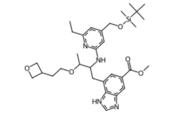 CCc1cc(CO[Si](C)(C)C(C)(C)C)cc(NC(Cc2cc(C(=O)OC)cc3nc[nH]c23)C(C)OCCC2COC2)n1